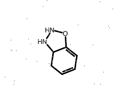 C1=CCC2NNOC2=C1